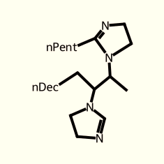 CCCCCCCCCCCC(C(C)N1CCN=C1CCCCC)N1C=NCC1